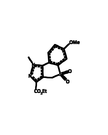 CCOC(=O)c1nn(C)c2c1CS(=O)(=O)c1cc(OC)ccc1-2